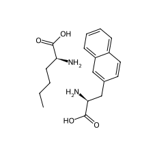 CCCC[C@H](N)C(=O)O.N[C@@H](Cc1ccc2ccccc2c1)C(=O)O